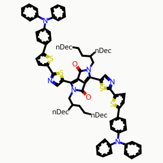 CCCCCCCCCCCCC(CCCCCCCCCC)CN1C(=O)C2=C(c3cnc(-c4ccc(-c5ccc(N(c6ccccc6)c6ccccc6)cc5)s4)s3)N(CC(CCCCCCCCCC)CCCCCCCCCCCC)C(=O)C2=C1c1cnc(-c2ccc(-c3ccc(N(c4ccccc4)c4ccccc4)cc3)s2)s1